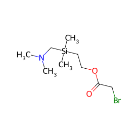 CN(C)C[Si](C)(C)CCOC(=O)CBr